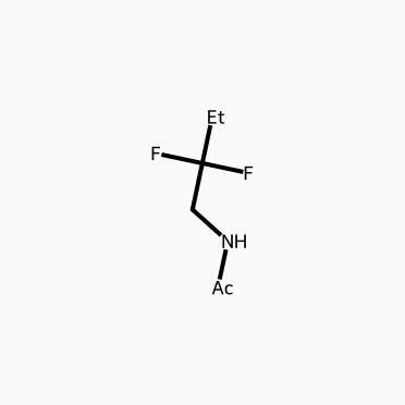 CCC(F)(F)CNC(C)=O